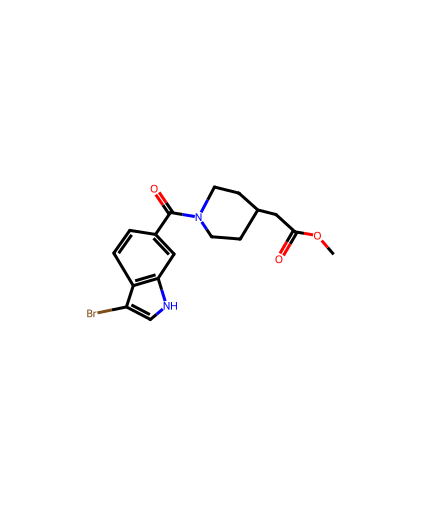 COC(=O)CC1CCN(C(=O)c2ccc3c(Br)c[nH]c3c2)CC1